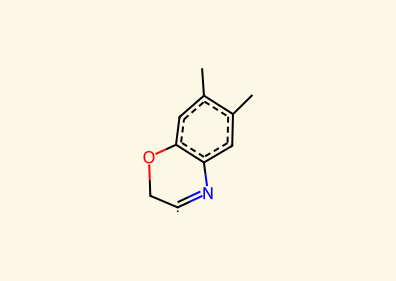 Cc1cc2c(cc1C)OC[C]=N2